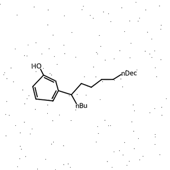 CCCCCCCCCCCCCCC(CCCC)c1cccc(O)c1